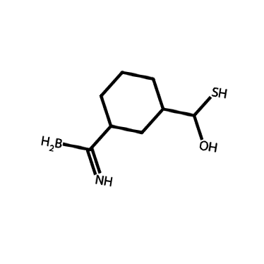 BC(=N)C1CCCC(C(O)S)C1